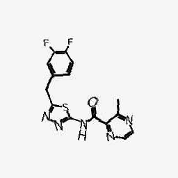 Cc1nccnc1C(=O)Nc1nnc(Cc2ccc(F)c(F)c2)s1